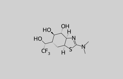 CN(C)C1=N[C@@H]2[C@@H](O)[C@H](O)[C@@H]([C@@H](O)C(F)(F)F)C[C@@H]2S1